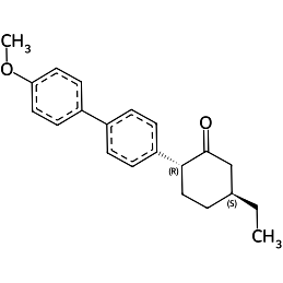 CC[C@H]1CC[C@H](c2ccc(-c3ccc(OC)cc3)cc2)C(=O)C1